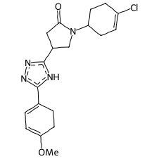 COC1=CC=C(c2nnc(C3CC(=O)N(C4CC=C(Cl)CC4)C3)[nH]2)CC1